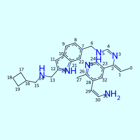 C/C=C(\N=C/NCc1ccc2cc(CNCC3CCC3)[nH]c2c1)c1cnc(C)c(/C=C\N)c1